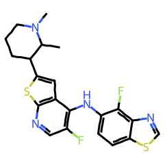 CC1C(c2cc3c(Nc4ccc5scnc5c4F)c(F)cnc3s2)CCCN1C